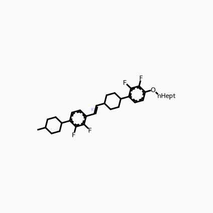 CCCCCCCOc1ccc(C2CCC(/C=C/c3ccc(C4CCC(C)CC4)c(F)c3F)CC2)c(F)c1F